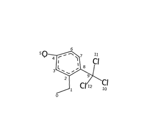 CCc1cc([O])ccc1C(Cl)(Cl)Cl